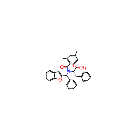 Cc1ccc(C(=O)N(C(c2ccccc2)c2cc3ccccc3o2)[C@@H](Cc2ccccc2)C(=O)O)c(C)c1